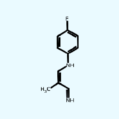 C/C(C=N)=C/Nc1ccc(F)cc1